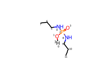 [3H]OP(=O)(NCCC)NCCC